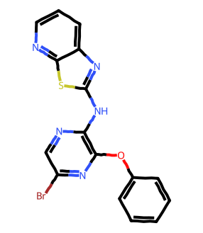 Brc1cnc(Nc2nc3cccnc3s2)c(Oc2ccccc2)n1